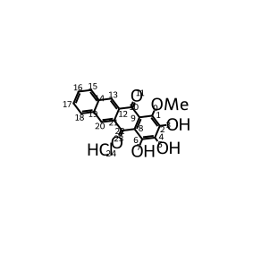 COc1c(O)c(O)c(O)c2c1C(=O)c1cc3ccccc3cc1C2=O.Cl